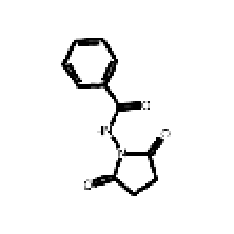 O=C(NN1C(=O)CCC1=O)c1ccccc1